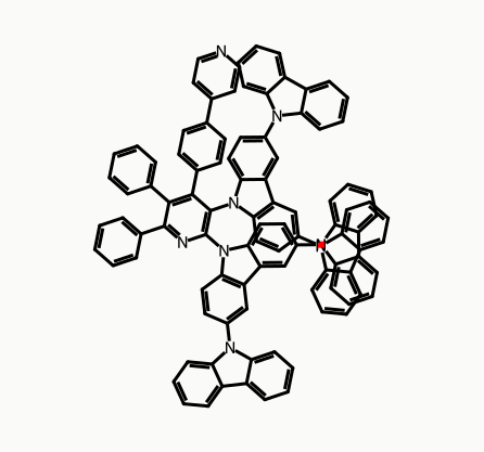 c1ccc(-c2nc(-n3c4ccc(-n5c6ccccc6c6ccccc65)cc4c4cc(-n5c6ccccc6c6ccccc65)ccc43)c(-n3c4ccc(-n5c6ccccc6c6ccccc65)cc4c4cc(-n5c6ccccc6c6ccccc65)ccc43)c(-c3ccc(-c4ccncc4)cc3)c2-c2ccccc2)cc1